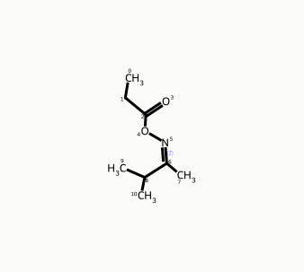 CCC(=O)O/N=C(/C)C(C)C